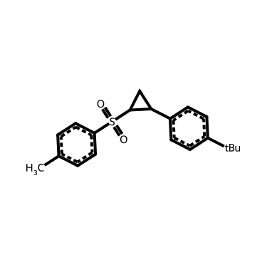 Cc1ccc(S(=O)(=O)C2CC2c2ccc(C(C)(C)C)cc2)cc1